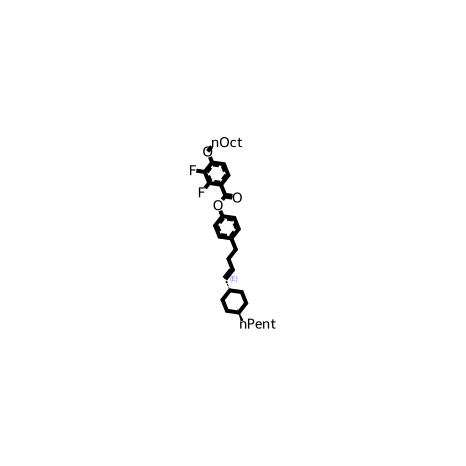 CCCCCCCCOc1ccc(C(=O)Oc2ccc(CC/C=C/[C@H]3CC[C@H](CCCCC)CC3)cc2)c(F)c1F